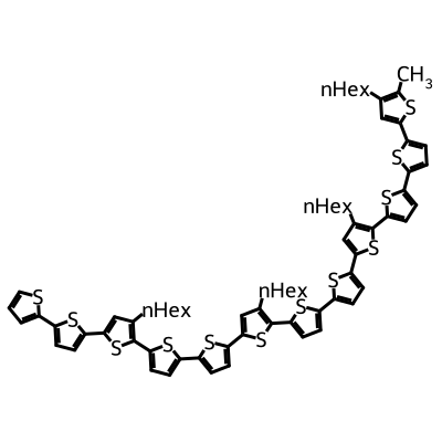 CCCCCCc1cc(-c2ccc(-c3ccc(-c4sc(-c5ccc(-c6ccc(-c7sc(-c8ccc(-c9ccc(-c%10sc(-c%11ccc(-c%12cccs%12)s%11)cc%10CCCCCC)s9)s8)cc7CCCCCC)s6)s5)cc4CCCCCC)s3)s2)sc1C